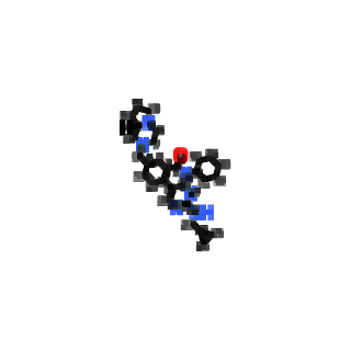 O=c1c2cc(CN3CCN4CCC[C@H]4C3)ccc2c2cnc(NCC3CC3)nc2n1C1CCCCC1